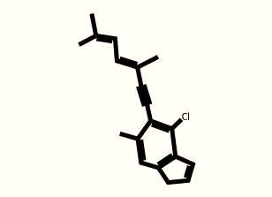 CC(C)=C/C=C(\C)C#Cc1c(C)cc2c(c1Cl)C=CC2